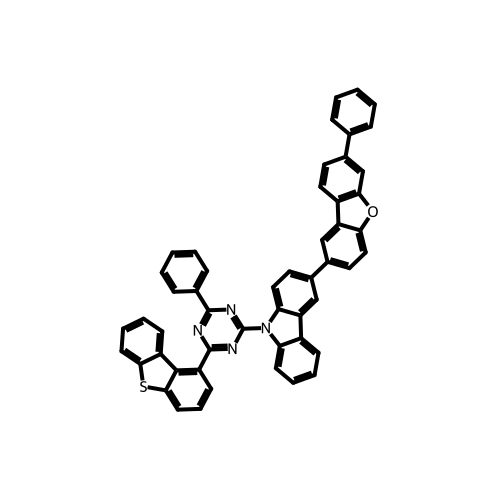 c1ccc(-c2ccc3c(c2)oc2ccc(-c4ccc5c(c4)c4ccccc4n5-c4nc(-c5ccccc5)nc(-c5cccc6sc7ccccc7c56)n4)cc23)cc1